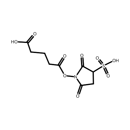 O=C(O)CCCC(=O)ON1C(=O)CC(S(=O)(=O)O)C1=O